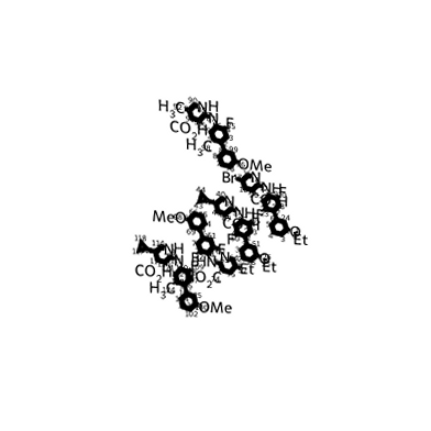 CCOc1cccc(-c2cc(F)c(Nc3ncc(Br)cc3C(=O)O)cc2F)c1.CCOc1cccc(-c2cc(F)c(Nc3ncc(C4CC4)cc3C(=O)O)cc2F)c1.CCc1cnc(Nc2c(F)cc(-c3cccc(OC)c3)cc2F)c(C(=O)O)c1.COc1cccc(-c2cc(F)c(Nc3ncc(C)cc3C(=O)O)cc2C)c1.COc1cccc(-c2cc(F)c(Nc3ncc(C4CC4)cc3C(=O)O)cc2C)c1